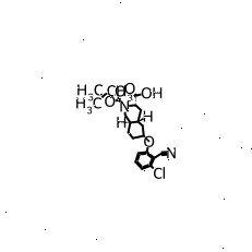 CC(C)(C)OC(=O)N1C[C@@H]2CC[C@H](Oc3cccc(Cl)c3C#N)C[C@H]2C[C@H]1C(=O)O